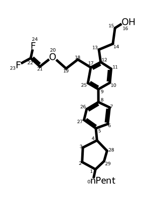 CCCCCC1CCC(c2ccc(-c3ccc(CCCO)c(CCOC=C(F)F)c3)cc2)CC1